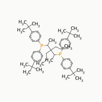 CCCC(CCC)(C(C)P(c1ccc(C(C)(C)C)cc1)c1ccc(C(C)(C)C)cc1)C(C)P(c1ccc(C(C)(C)C)cc1)c1ccc(C(C)(C)C)cc1